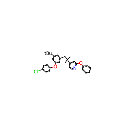 CC(C)(C)c1cc(CC(C)(C)c2ccnc(Oc3ccccc3)c2)cc(Oc2ccc(Cl)cc2)c1